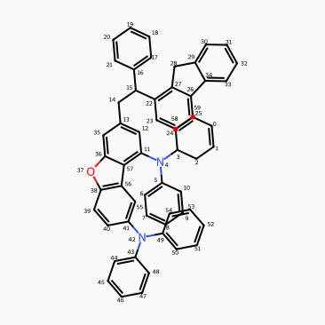 C1=CCC(N(c2ccccc2)c2cc(CC(c3ccccc3)c3cccc4c3Cc3ccccc3-4)cc3oc4ccc(N(c5ccccc5)c5ccccc5)cc4c23)C=C1